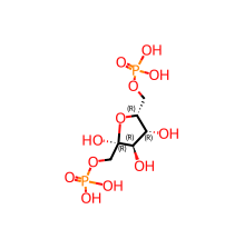 O=P(O)(O)OC[C@H]1O[C@](O)(COP(=O)(O)O)[C@H](O)[C@H]1O